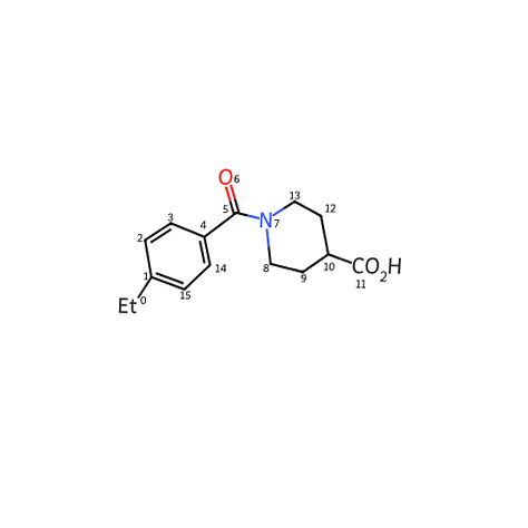 CCc1ccc(C(=O)N2CCC(C(=O)O)CC2)cc1